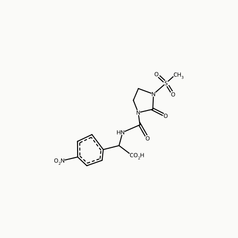 CS(=O)(=O)N1CCN(C(=O)NC(C(=O)O)c2ccc([N+](=O)[O-])cc2)C1=O